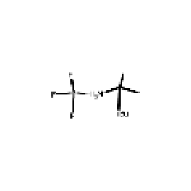 CCC(C)C(C)(C)[NH3+].F[B-](F)(F)F